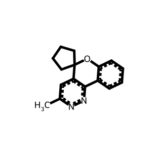 Cc1cc2c(nn1)-c1ccccc1OC21CCCC1